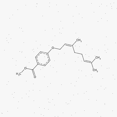 COC(=O)c1ccc(OCC=C(C)CCC=C(C)C)cc1